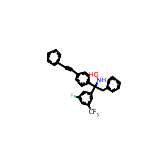 ONC(Cc1ccccc1)(c1ccc(C#Cc2ccccc2)cc1)c1cc(F)cc(C(F)(F)F)c1